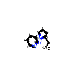 CC(=O)Cc1ccc[nH]1.c1ccncc1